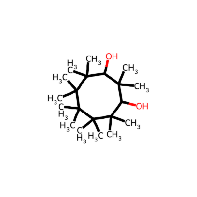 CC1(C)C(O)C(C)(C)C(C)(C)C(C)(C)C(C)(C)C(C)(C)C1O